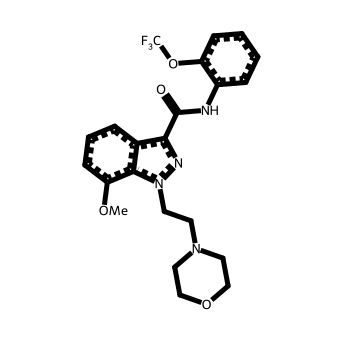 COc1cccc2c(C(=O)Nc3ccccc3OC(F)(F)F)nn(CCN3CCOCC3)c12